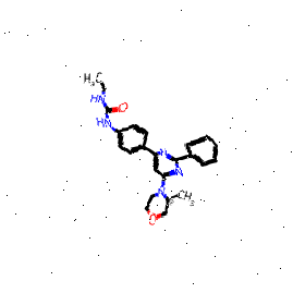 CCNC(=O)Nc1ccc(-c2cc(N3CCOC[C@@H]3C)nc(-c3ccccc3)n2)cc1